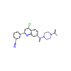 C=C(C)N1CCN(C(=C)c2ccc3c(Cl)cc(-c4cccc(C#N)c4)nc3c2)CC1